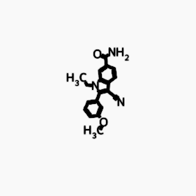 CCn1c(-c2cccc(OC)c2)c(C#N)c2ccc(C(N)=O)cc21